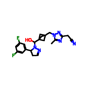 Cc1nc(CC#N)nn1CC12CC(C(O)N3N=CCC3c3cc(F)cc(F)c3)(C1)C2